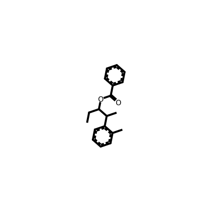 CCC(OC(=O)c1ccccc1)C(C)c1ccccc1C